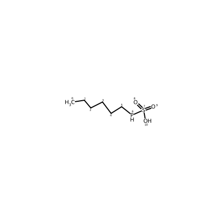 CCCCCCPS(=O)(=O)O